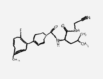 Cc1ccc(F)c(C2=CCN(C(=O)NC(CC(C)C)C(=O)NCC#N)CC2)c1